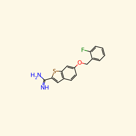 N=C(N)c1cc2ccc(OCc3ccccc3F)cc2s1